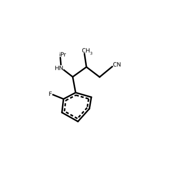 CC(C)NC(c1ccccc1F)C(C)CC#N